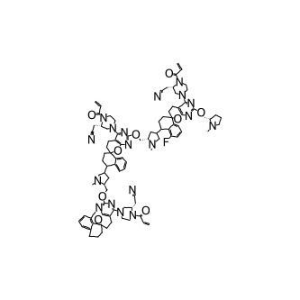 C=CC(=O)N1CCN(c2nc(OC[C@@H]3CC(C4CCC5(CCc6c(nc(OC[C@@H]7CCCN7C)nc6N6CCN(C(=O)C=C)[C@@H](CC#N)C6)O5)c5cccc(F)c54)CN3C)nc3c2CCC2(CCC(C4C[C@@H](COc5nc6c(c(N7CCN(C(=O)C=C)[C@@H](CC#N)C7)n5)CCC5(CCCc7cccc(C)c75)O6)N(C)C4)c4ccccc42)O3)C[C@@H]1CC#N